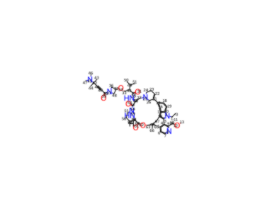 CCn1c(-c2cccnc2[C@H](C)OC)c2c3cc(ccc31)C1=CCCN(C1)C[C@H](NC(=O)C(COC1CN(C(=O)C#CC(C)(C)N(C)C)C1)C(C)C)C(=O)N1CCC[C@H](N1)C(=O)OCC(C)(C)C2